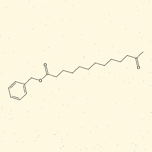 CC(=O)CCCCCCCCCCC(=O)OCc1ccccc1